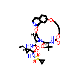 CC[C@@H]1C[C@]1(NC(=O)[C@@H]1C[C@@H]2CN1C(=O)[C@H](C(C)(C)C)NC(=O)OCCCCOc1ccc3ccnc(c3c1)O2)C(=O)NS(=O)(=O)C1CC1